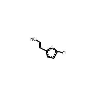 N#CC=Cc1ccc(Cl)s1